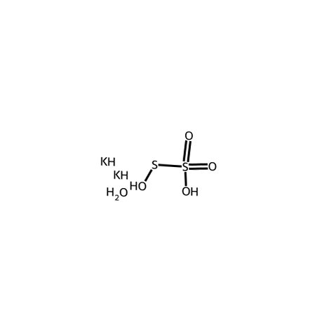 O.O=S(=O)(O)SO.[KH].[KH]